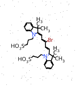 CC1(C)C(/C=C/C(Br)=C/C=C2\N(CCCS(=O)(=O)O)c3ccccc3C2(C)C)=[N+](CCCS(=O)(=O)O)c2ccccc21